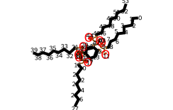 CCCCCCCCCS(=O)(=O)C1=CCC(S(=O)(=O)CCCCCCCCC)(S(=O)(=O)CCCCCCCCC)C=C1S(=O)(=O)CCCCCCCCC